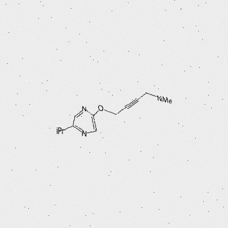 CNCC#CCOc1cnc(C(C)C)cn1